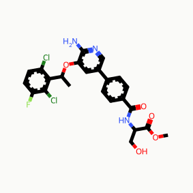 COC(=O)C(CO)NC(=O)c1ccc(-c2cnc(N)c(OC(C)c3c(Cl)ccc(F)c3Cl)c2)cc1